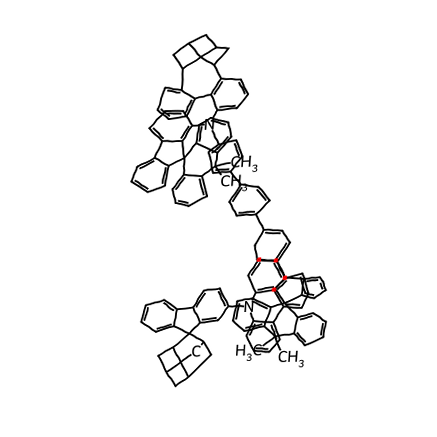 CC1(C)c2ccccc2C2(c3ccccc3-c3cccc(N(c4ccc5c(c4)C4(c6ccccc6-5)C5CC6CC7CC4C67C5)c4ccccc4-c4cccc(C5=CC=C(c6ccc(-c7ccc(N(c8cccc9c8-c8ccccc8C8CC%10CC%11CC9C%10%118)c8cccc9c8C8(c%10ccccc%10-9)c9ccccc9C(C)(C)c9ccccc98)cc7)cc6)CC5)c4)c32)c2ccccc21